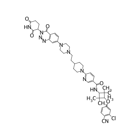 CC1(C)C(NC(=O)c2ccc(N3CCC(CCN4CCN(c5ccc6c(=O)n(C7CCC(=O)NC7=O)nnc6c5)CC4)CC3)nc2)C(C)(C)C1Oc1ccc(C#N)c(Cl)c1